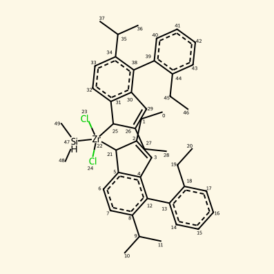 CCC1=Cc2c(ccc(C(C)C)c2-c2ccccc2CC)[CH]1[Zr]([Cl])([Cl])([CH]1C(CC)=Cc2c1ccc(C(C)C)c2-c1ccccc1CC)[SiH](C)C